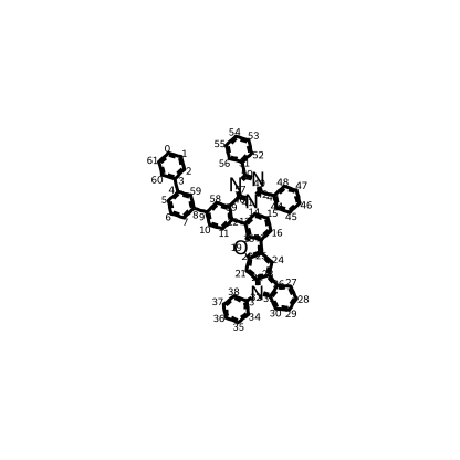 c1ccc(-c2cccc(-c3ccc(-c4cccc5c4oc4cc6c(cc45)c4ccccc4n6-c4ccccc4)c(-c4nc(-c5ccccc5)nc(-c5ccccc5)n4)c3)c2)cc1